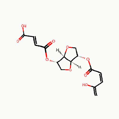 C=C(O)/C=C\C(=O)O[C@H]1CO[C@H]2[C@@H]1OC[C@@H]2OC(=O)/C=C/C(=O)O